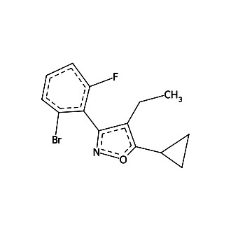 CCc1c(-c2c(F)cccc2Br)noc1C1CC1